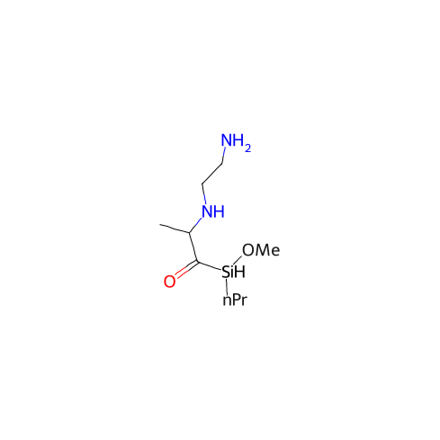 CCC[SiH](OC)C(=O)C(C)NCCN